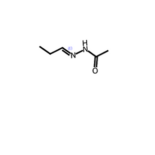 CC/C=N/NC(C)=O